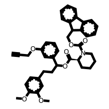 C#CCOc1cccc(C(CCc2ccc(OC)c(OC)c2)OC(=O)[C@@H]2CCCCN2C(=O)OCC2c3ccccc3-c3ccccc32)c1